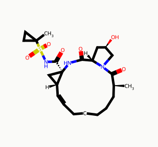 C[C@H]1CCCCC/C=C\[C@@H]2C[C@@]2(C(=O)NS(=O)(=O)C2(C)CC2)NC(=O)[C@@H]2C[C@@H](O)CN2C1=O